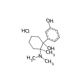 CN(C)C1(C)CCCCC1(O)c1cccc(O)c1.Cl